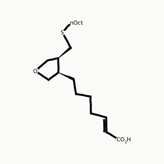 CCCCCCCCSC[C@@H]1COC[C@@H]1CCCCC=CC(=O)O